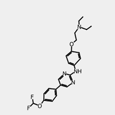 CCN(CC)CCOc1ccc(Nc2ncc(-c3ccc(OC(F)F)cc3)cn2)cc1